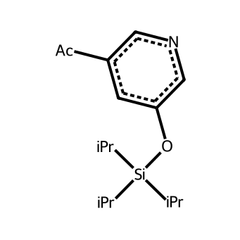 CC(=O)c1cncc(O[Si](C(C)C)(C(C)C)C(C)C)c1